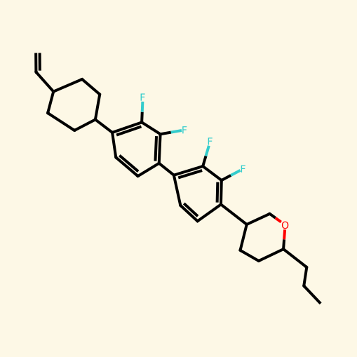 C=CC1CCC(c2ccc(-c3ccc(C4CCC(CCC)OC4)c(F)c3F)c(F)c2F)CC1